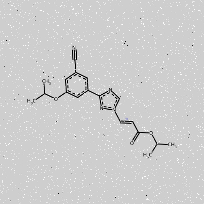 CC(C)OC(=O)/C=C/n1cnc(-c2cc(C#N)cc(OC(C)C)c2)n1